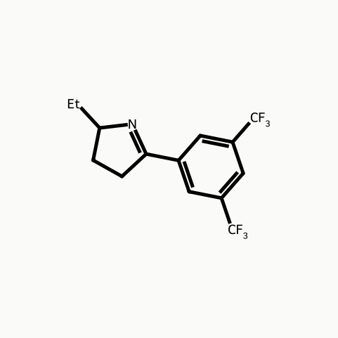 CCC1CCC(c2cc(C(F)(F)F)cc(C(F)(F)F)c2)=N1